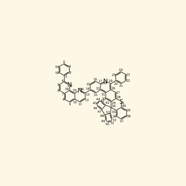 c1ccc(-c2ccc3ccc4ccc(-c5ccc6nc(-c7ccccc7)c7cc8c(cc7c6c5)C5(c6ccccc6S8)c6ccccc6-c6ccccc65)nc4c3n2)cc1